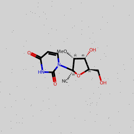 CO[C@@H]1[C@H](O)[C@@H](CO)O[C@@]1(C#N)n1ccc(=O)[nH]c1=O